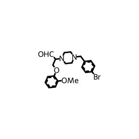 COc1ccccc1OCC(C=O)N1CCN(Cc2ccc(Br)cc2)CC1